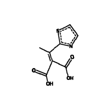 CC(=C(C(=O)O)C(=O)O)c1nccs1